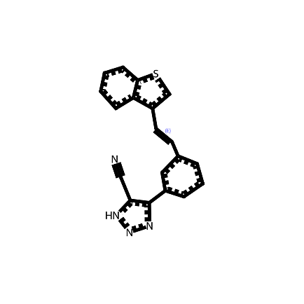 N#Cc1[nH]nnc1-c1cccc(/C=C/c2csc3ccccc23)c1